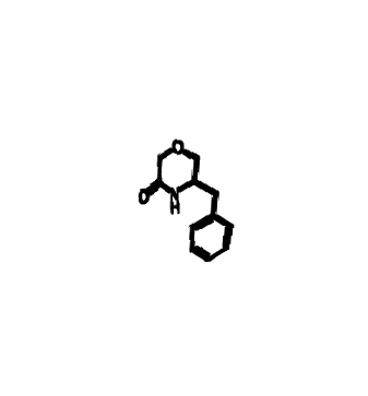 O=C1COCC(Cc2ccccc2)N1